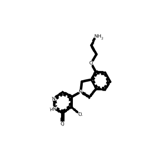 NCCOc1cccc2c1CN(c1cn[nH]c(=O)c1Cl)C2